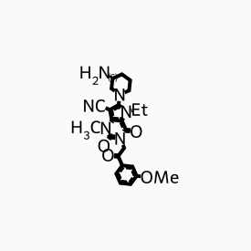 CCn1c(N2CCC[C@H](N)C2)c(C#N)c2c1c(=O)n(CC(=O)c1cccc(OC)c1)c(=O)n2C